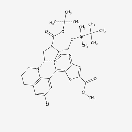 COC(=O)c1cc2nccc(-c3cc(Cl)cc4c3N([C@H]3C[C@@H](CO[Si](C)(C)C(C)(C)C)N(C(=O)OC(C)(C)C)C3)CCC4)c2s1